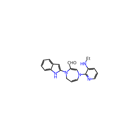 CCNc1cccnc1N1C=CCN(c2cc3ccccc3[nH]2)C(C=O)=C1